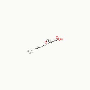 CCCCCCCCCCCC(CCCCCCCC(=O)O)OC